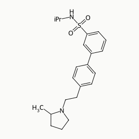 CC(C)NS(=O)(=O)c1cccc(-c2ccc(CCN3CCCC3C)cc2)c1